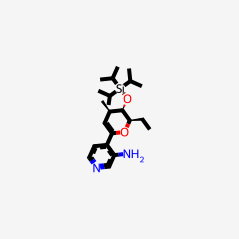 CC[C@H]1OC(c2ccncc2N)=C[C@@H](C)[C@@H]1O[Si](C(C)C)(C(C)C)C(C)C